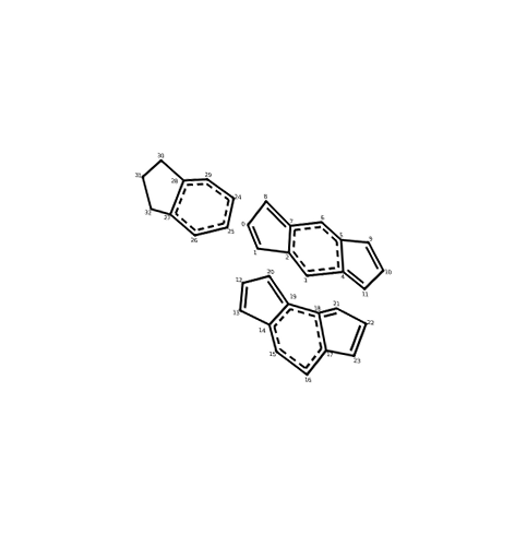 C1=Cc2cc3c(cc2=C1)C=CC=3.C1=Cc2ccc3c(c2=C1)=CC=C3.c1ccc2c(c1)CCC2